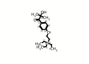 CC[N+](CC)(CC)CCOc1ccc(C(=O)C(C)(C)O)cc1